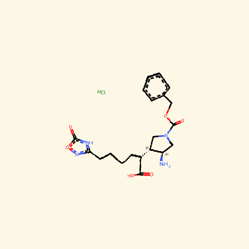 Cl.N[C@@H]1CN(C(=O)OCc2ccccc2)C[C@H]1C(CCCCc1noc(=O)[nH]1)C(=O)O